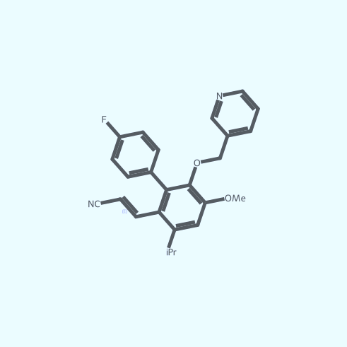 COc1cc(C(C)C)c(/C=C/C#N)c(-c2ccc(F)cc2)c1OCc1cccnc1